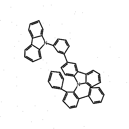 c1ccc(-c2cccc(-c3ccccc3)c2-n2c3ccccc3c3cc(-c4cccc(-n5c6ccccc6c6ccccc65)c4)ccc32)cc1